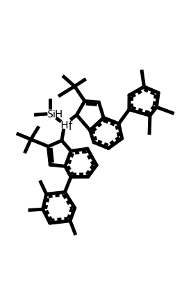 Cc1cc(C)c(C)c(-c2cccc3c2C=C(C(C)(C)C)[CH]3[Hf]([CH]2C(C(C)(C)C)=Cc3c(-c4cc(C)cc(C)c4C)cccc32)[SiH](C)C)c1